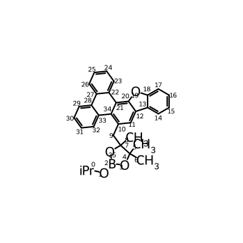 CC(C)OB1OC(C)(C)C(C)(Cc2cc3c4ccccc4oc3c3c4ccccc4c4ccccc4c23)O1